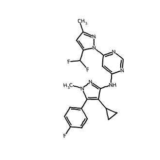 Cc1cc(C(F)F)n(-c2cc(Nc3nn(C)c(-c4ccc(F)cc4)c3C3CC3)ncn2)n1